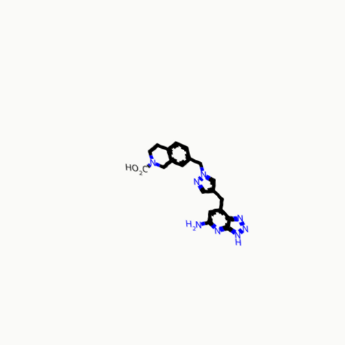 Nc1cc(Cc2cnn(Cc3ccc4c(c3)CN(C(=O)O)CC4)c2)c2nn[nH]c2n1